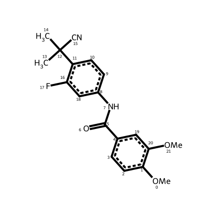 COc1ccc(C(=O)Nc2ccc(C(C)(C)C#N)c(F)c2)cc1OC